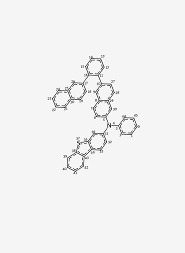 c1ccc(N(c2ccc3cc(-c4ccccc4-c4ccc5ccccc5c4)ccc3c2)c2ccc3c(c2)sc2ccccc23)cc1